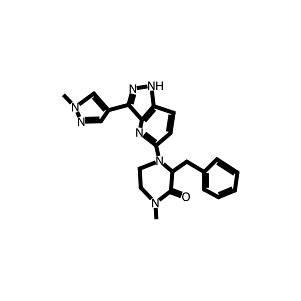 CN1CCN(c2ccc3[nH]nc(-c4cnn(C)c4)c3n2)C(Cc2ccccc2)C1=O